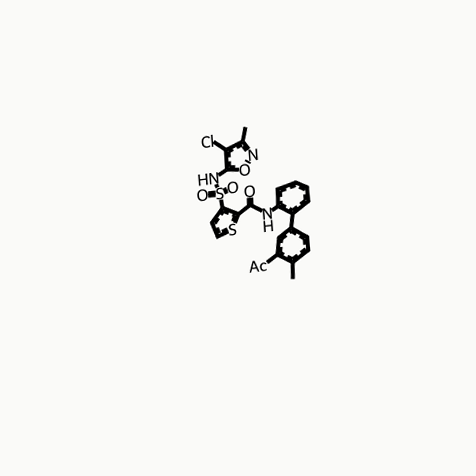 CC(=O)c1cc(-c2ccccc2NC(=O)c2sccc2S(=O)(=O)Nc2onc(C)c2Cl)ccc1C